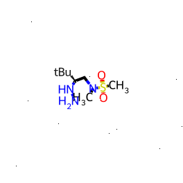 CN(C[C@@H](NN)C(C)(C)C)S(C)(=O)=O